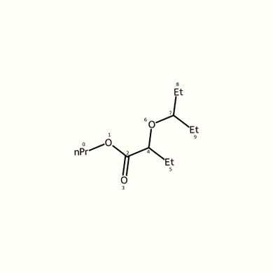 CCCOC(=O)C(CC)OC(CC)CC